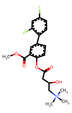 COC(=O)c1cc(-c2ccc(F)cc2F)ccc1OC(=O)CC(O)C[N+](C)(C)C